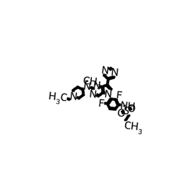 CCCS(=O)(=O)Nc1ccc(F)c(-n2cc(-c3cncnc3)c3nc(N(C)C4CCN(CC)CC4)ncc32)c1F